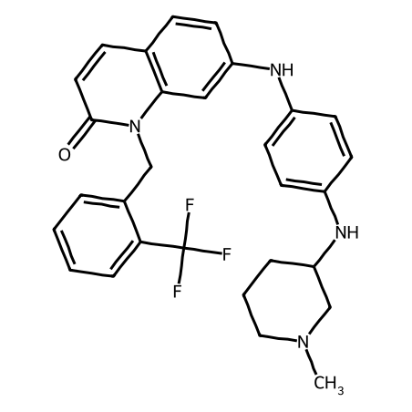 CN1CCCC(Nc2ccc(Nc3ccc4ccc(=O)n(Cc5ccccc5C(F)(F)F)c4c3)cc2)C1